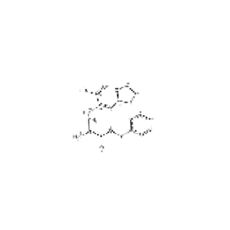 C=C(C)C(=O)OCc1ccccc1.CC(=CC1CCCO1)C(=O)O